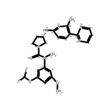 COc1cc(OC(F)F)cc(N(C)C(=O)N2CC[C@H](Nc3ccc(-c4ncccn4)c(C)n3)C2)c1